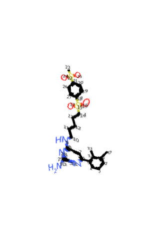 Cc1cccc(-c2cc(NCCCCCS(=O)(=O)c3ccc(S(C)(=O)=O)cc3)nc(N)n2)c1C